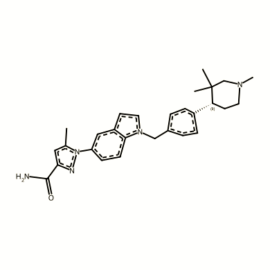 Cc1cc(C(N)=O)nn1-c1ccc2c(ccn2Cc2ccc([C@H]3CCN(C)CC3(C)C)cc2)c1